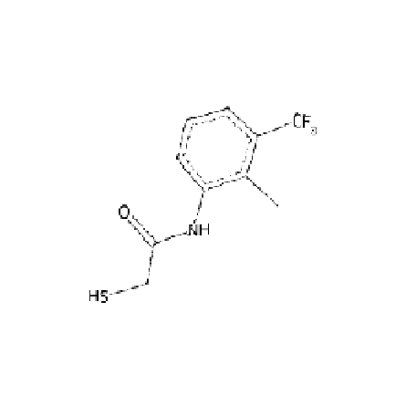 Cc1c(NC(=O)CS)cccc1C(F)(F)F